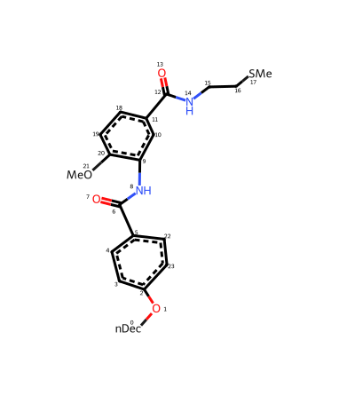 CCCCCCCCCCOc1ccc(C(=O)Nc2cc(C(=O)NCCSC)ccc2OC)cc1